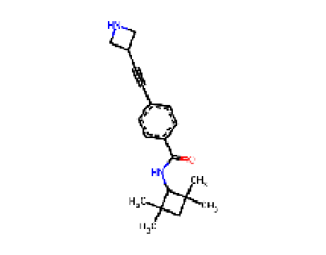 CC1(C)CC(C)(C)C1NC(=O)c1ccc(C#CC2CNC2)cc1